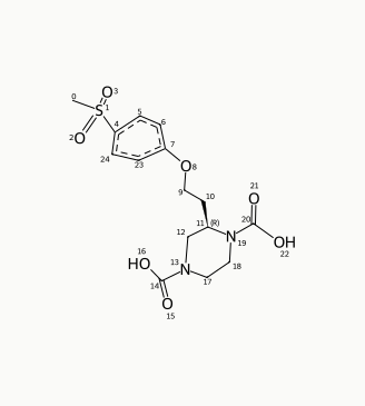 CS(=O)(=O)c1ccc(OCC[C@@H]2CN(C(=O)O)CCN2C(=O)O)cc1